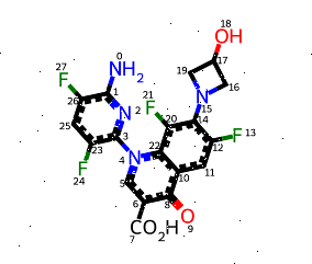 Nc1nc(-n2cc(C(=O)O)c(=O)c3cc(F)c(N4CC(O)C4)c(F)c32)c(F)cc1F